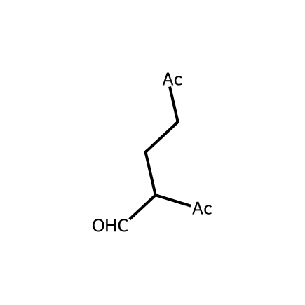 CC(=O)CCC(C=O)C(C)=O